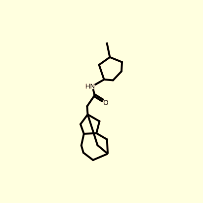 CC1CCCC(NC(=O)CC23CC4CCCC(C2)C(C4)C3)C1